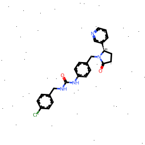 O=C(NCc1ccc(Cl)cc1)Nc1ccc(CN2C(=O)CC[C@@H]2c2cccnc2)cc1